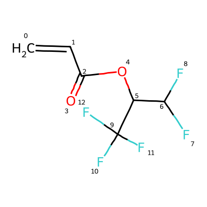 C=CC(=O)OC(C(F)F)C(F)(F)F